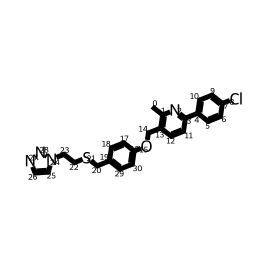 Cc1nc(-c2ccc(Cl)cc2)ccc1COc1ccc(CSCCn2ccnn2)cc1